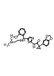 CN(C)CCNC(c1cnc(NC(=O)C2(c3ccc4c(c3)OCO4)CC2)s1)c1ccccc1Cl